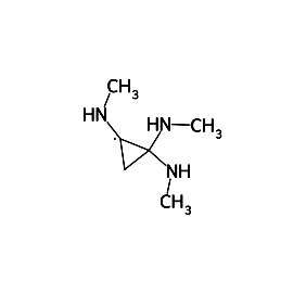 CN[C]1CC1(NC)NC